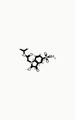 CC(C)OC(=O)CN1C(=O)C(=O)c2cc(S(N)(=O)=O)ccc21